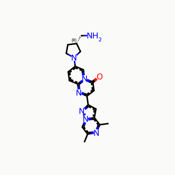 Cc1cn2nc(-c3cc(=O)n4cc(N5CC[C@H](CN)C5)ccc4n3)cc2c(C)n1